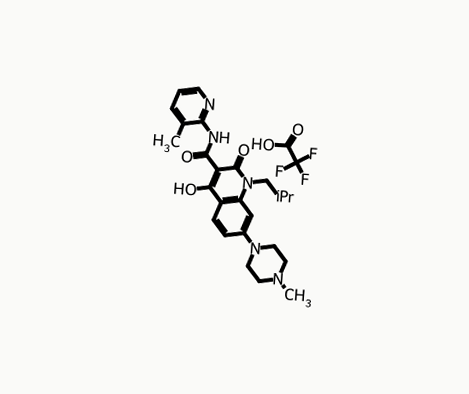 Cc1cccnc1NC(=O)c1c(O)c2ccc(N3CCN(C)CC3)cc2n(CC(C)C)c1=O.O=C(O)C(F)(F)F